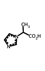 CC(C(=O)O)n1ccnc1